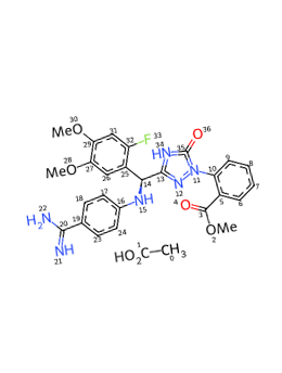 CC(=O)O.COC(=O)c1ccccc1-n1nc([C@@H](Nc2ccc(C(=N)N)cc2)c2cc(OC)c(OC)cc2F)[nH]c1=O